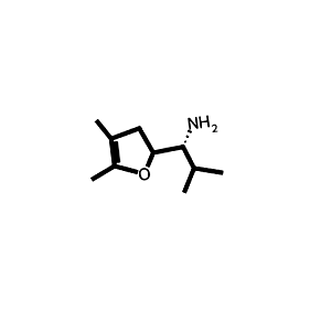 CC1=C(C)OC([C@H](N)C(C)C)C1